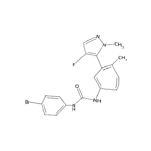 Cc1ccc(NC(=O)Nc2ccc(Br)cc2)cc1-c1c(F)cnn1C